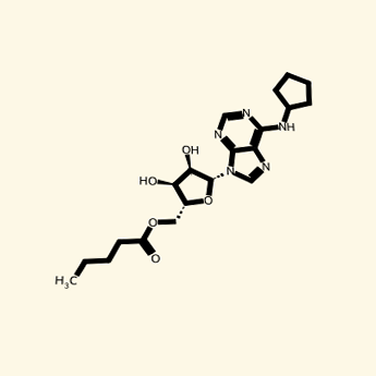 CCCCC(=O)OC[C@H]1O[C@@H](n2cnc3c(NC4CCCC4)ncnc32)[C@H](O)[C@@H]1O